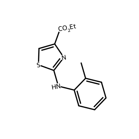 CCOC(=O)c1csc(Nc2ccccc2C)n1